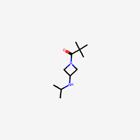 CC(C)NC1CN(C(=O)C(C)(C)C)C1